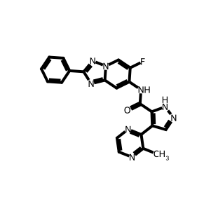 Cc1nccnc1-c1cn[nH]c1C(=O)Nc1cc2nc(-c3ccccc3)nn2cc1F